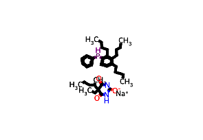 CCCC(C)C1(CC)C(=O)N=C([O-])NC1=O.CCCCc1ccc(Pc2ccccc2)c(CCCC)c1CCCC.[Na+]